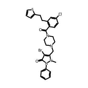 Cn1c(CN2CCN(C(=O)c3ccc(Cl)cc3CCc3cccs3)CC2)c(Br)c(=O)n1-c1ccccc1